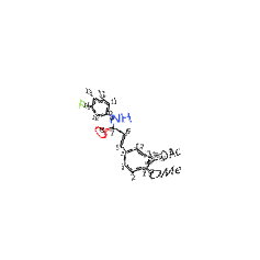 COc1ccc(C=CC(=O)Nc2cccc(F)c2)cc1OC(C)=O